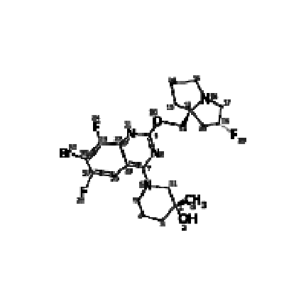 C[C@@]1(O)CCCN(c2nc(OC[C@@]34CCCN3C[C@H](F)C4)nc3c(F)c(Br)c(F)cc23)C1